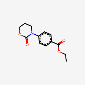 CCOC(=O)c1ccc(N2CCCOC2=O)cc1